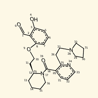 O=Cc1c(O)cccc1OCC[C@@H]1CCCCN1C(=O)c1cccnc1CCN1CCCC1